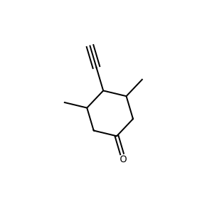 C#CC1C(C)CC(=O)CC1C